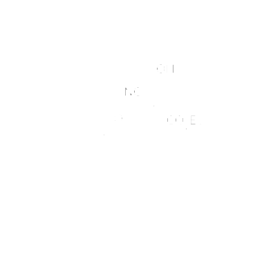 CCOC(=O)C(C#N)(CO)COC(c1ccccc1)(c1ccccc1)c1ccccc1